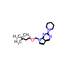 C[Si](C)(C)CCOCn1ccc2cnc(N3CCCCC3)nc21